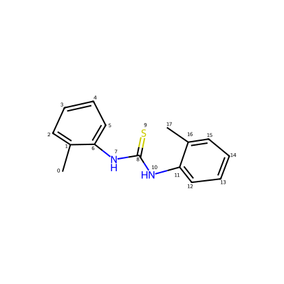 Cc1ccccc1NC(=S)Nc1ccccc1C